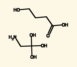 NCC(O)(O)O.O=C(O)CCCO